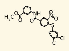 COC(=O)c1cccc(NC(=O)c2ccc(Sc3ccc(Cl)c(Cl)c3)c([N+](=O)[O-])c2)c1